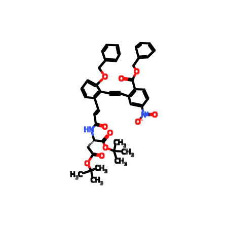 CC(C)(C)OC(=O)C[C@H](NC(=O)/C=C/c1cccc(OCc2ccccc2)c1C#Cc1cc([N+](=O)[O-])ccc1C(=O)OCc1ccccc1)C(=O)OC(C)(C)C